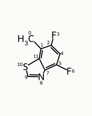 Cc1c(F)cc(F)c2ncsc12